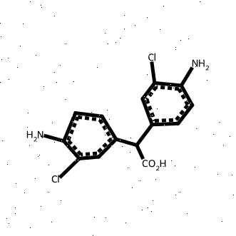 Nc1ccc(C(C(=O)O)c2ccc(N)c(Cl)c2)cc1Cl